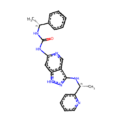 C[C@@H](NC(=O)Nc1cc2[nH]nc(N[C@H](C)c3ccccn3)c2cn1)c1ccccc1